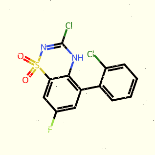 O=S1(=O)N=C(Cl)Nc2c(-c3ccccc3Cl)cc(F)cc21